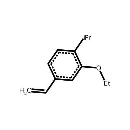 C=Cc1ccc(C(C)C)c(OCC)c1